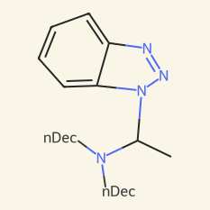 CCCCCCCCCCN(CCCCCCCCCC)C(C)n1nnc2ccccc21